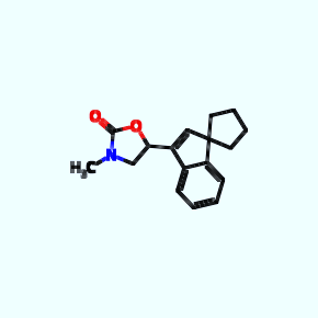 CN1CC(C2=CC3(CCCC3)c3ccccc32)OC1=O